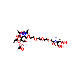 CC(=O)N[C@@H]1[C@H](OCCOCCOCCOCC(=O)NC(CO)CO)O[C@H](COC(C)=O)[C@H](OC(C)=O)[C@@H]1OC(C)=O